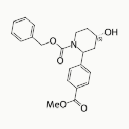 COC(=O)c1ccc(C2C[C@@H](O)CCN2C(=O)OCc2ccccc2)cc1